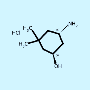 CC1(C)C[C@H](N)C[C@@H](O)C1.Cl